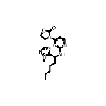 CCCCCC(Nc1nccc(N2CCOC2=O)n1)c1ncnn1C